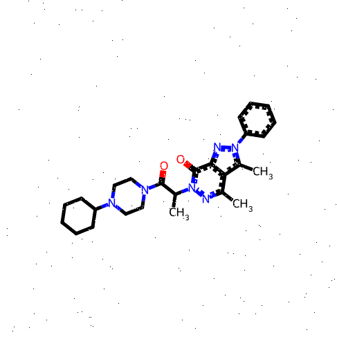 Cc1nn(C(C)C(=O)N2CCN(C3CCCCC3)CC2)c(=O)c2nn(-c3ccccc3)c(C)c12